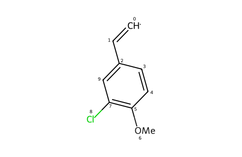 [CH]=Cc1ccc(OC)c(Cl)c1